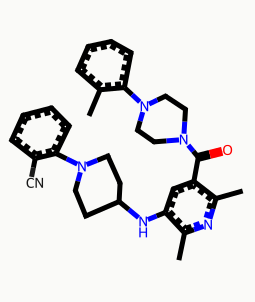 Cc1ccccc1N1CCN(C(=O)c2cc(NC3CCN(c4ccccc4C#N)CC3)c(C)nc2C)CC1